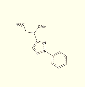 COC(CC(=O)O)c1ccn(-c2ccccc2)n1